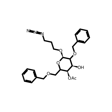 CC(=O)O[C@H]1C(COCc2ccccc2)O[C@@H](OCCCN=[N+]=[N-])C(OCc2ccccc2)[C@H]1O